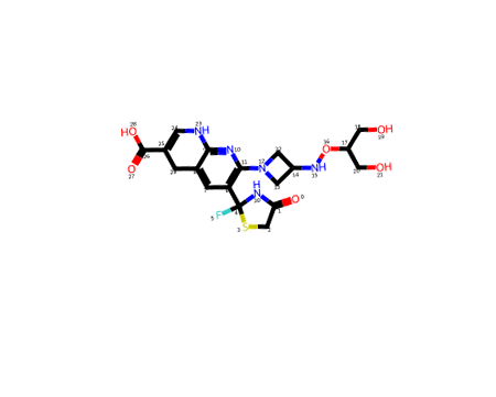 O=C1CSC(F)(c2cc3c(nc2N2CC(NOC(CO)CO)C2)NC=C(C(=O)O)C3)N1